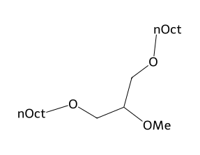 CCCCCCCCOCC(COCCCCCCCC)OC